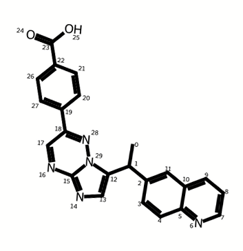 CC(c1ccc2ncccc2c1)c1cnc2ncc(-c3ccc(C(=O)O)cc3)nn12